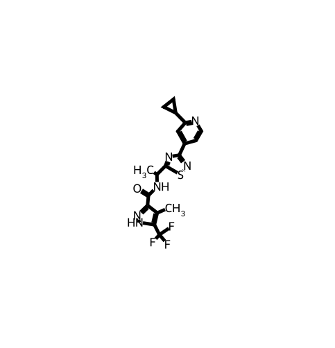 Cc1c(C(=O)NC(C)c2nc(-c3ccnc(C4CC4)c3)ns2)n[nH]c1C(F)(F)F